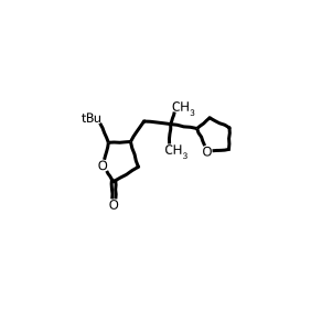 CC(C)(C)C1OC(=O)CC1CC(C)(C)C1CCCO1